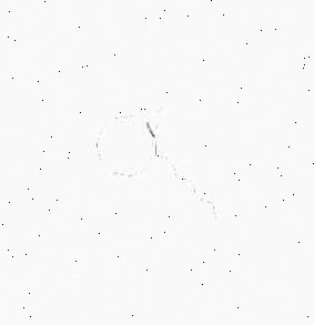 CCOCCOC1/C=C(/Br)CCCCCCCC1